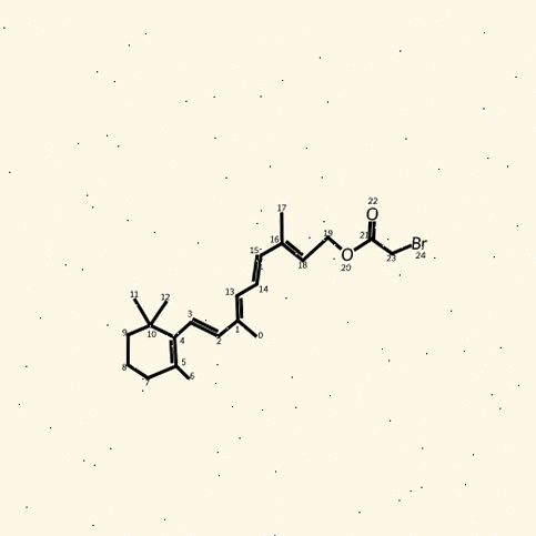 CC(C=CC1=C(C)CCCC1(C)C)=CC=CC(C)=CCOC(=O)CBr